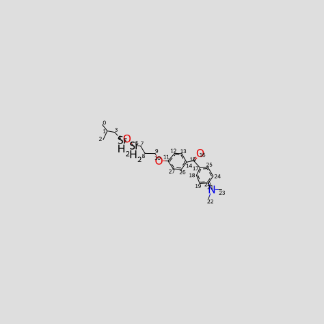 CC(C)C[SiH2]O[SiH2]CCCOc1ccc(C(=O)c2ccc(N(C)C)cc2)cc1